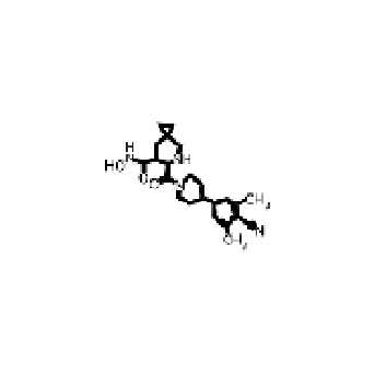 Cc1cc(C2=CCN(C(=O)C3NCC4(CC4)CC3C(=O)NO)CC2)cc(C)c1C#N